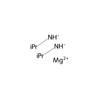 CC(C)[NH-].CC(C)[NH-].[Mg+2]